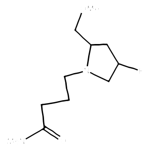 CNC(=O)CCCN1CC(F)CC1COC